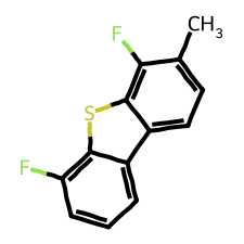 Cc1ccc2c(sc3c(F)cccc32)c1F